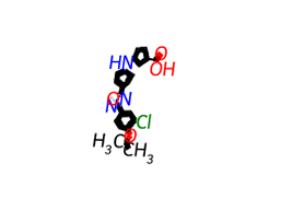 CC(C)Oc1ccc(-c2noc(-c3ccc(N[C@H]4CC[C@@H](C(=O)O)C4)cc3)n2)cc1Cl